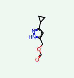 O=COCc1cc(C2CC2)n[nH]1